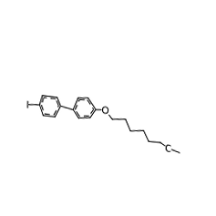 CCCCCCCCOc1ccc(-c2ccc(I)cc2)cc1